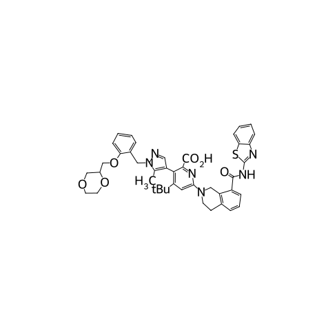 Cc1c(-c2c(C(C)(C)C)cc(N3CCc4cccc(C(=O)Nc5nc6ccccc6s5)c4C3)nc2C(=O)O)cnn1Cc1ccccc1OCC1COCCO1